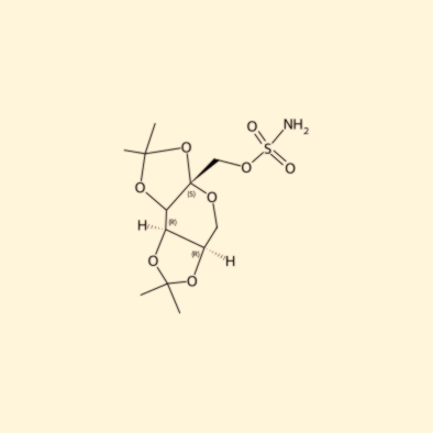 CC1(C)O[C@@H]2CO[C@@]3(COS(N)(=O)=O)OC(C)(C)OC3[C@@H]2O1